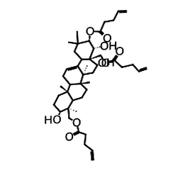 C=CCCC(=O)OC[C@@]12C(CC(C)(C)[C@@H](OC(=O)CCC=C)[C@@H]1O)C1=CCC3[C@@]4(C)CC[C@H](O)[C@](C)(COC(=O)CCC=C)C4CC[C@@]3(C)[C@]1(C)C[C@H]2O